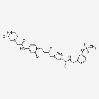 CC(F)(F)Oc1cccc(CNC(=O)c2cn(CC(F)CCn3ccc(NC(=O)CN4CCNC(=O)C4)cc3=O)nn2)c1